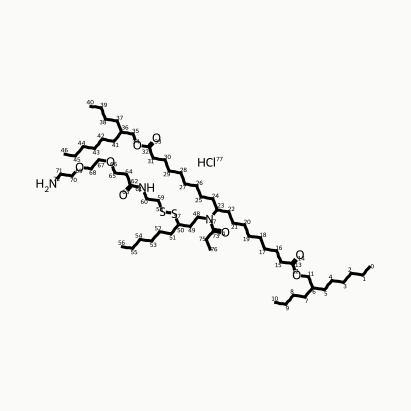 CCCCCCC(CCCC)COC(=O)CCCCCCCCC(CCCCCCCCC(=O)OCC(CCCC)CCCCCC)N(CCC(CCCCCC)SSCCNC(=O)CCOCCOCCN)C(=O)CC.Cl